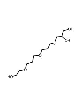 OCCOCCCOCCCSCC(O)CO